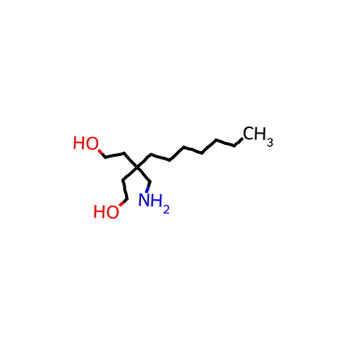 CCCCCCCC(CN)(CCO)CCO